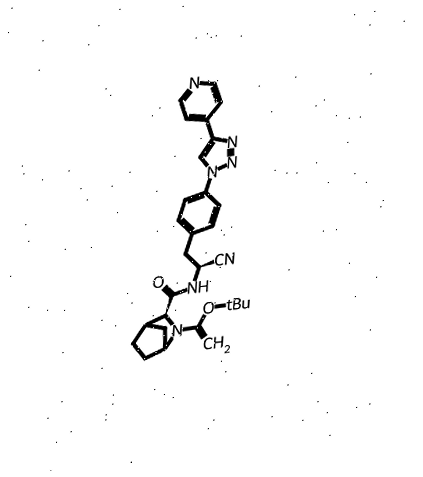 C=C(OC(C)(C)C)N1C2CCC(C2)[C@H]1C(=O)N[C@H](C#N)Cc1ccc(-n2cc(-c3ccncc3)nn2)cc1